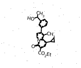 CCOC(=O)c1cc(C2CC2)c2c(C)c(-c3cccc(C(C)O)c3)ccn2c1=O